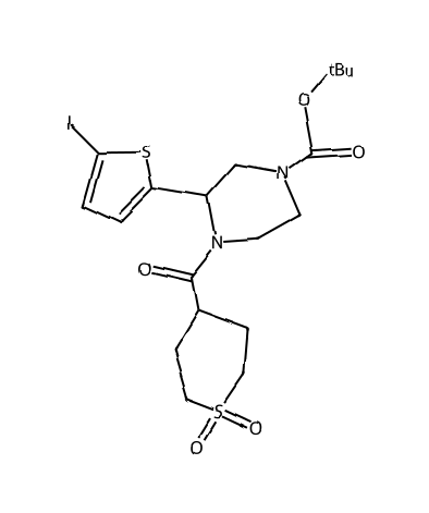 CC(C)(C)OC(=O)N1CCN(C(=O)C2CCS(=O)(=O)CC2)C(c2ccc(I)s2)C1